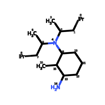 CC(C)CC(C)N(C(C)CC(C)C)C1CCCC(N)C1C